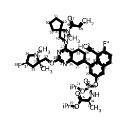 C#Cc1c(F)ccc2cc(OP(=O)(N[C@@H](C)C(=O)OC(C)C)OC(C)C)cc(C3=Cc4nc(OC[C@]5(C)C[C@@H](F)CN5C)nc(NCC5(N(C)C(=O)C=C)CCCC5)c4CC3)c12